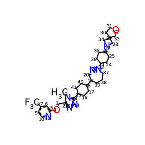 Cn1c(COc2cc(C(F)(F)F)ccn2)nnc1C1CCC(C2C=NN(C3CCC(N4CC5(CCOC5)C4)CC3)CCC2)CC1